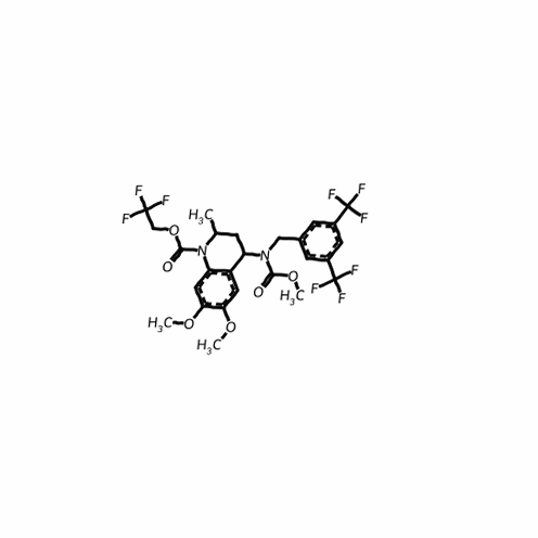 COC(=O)N(Cc1cc(C(F)(F)F)cc(C(F)(F)F)c1)C1CC(C)N(C(=O)OCC(F)(F)F)c2cc(OC)c(OC)cc21